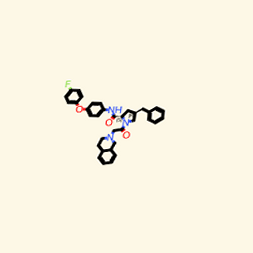 O=C(Nc1ccc(Oc2ccc(F)cc2)cc1)[C@@H]1C[C@@H](Cc2ccccc2)CN1C(=O)CN1CCC2C=CC=CC2C1